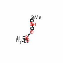 CCC(C)(C)C(=O)OCCCCOc1ccc(C(=O)Oc2ccc(OC)cc2)cc1